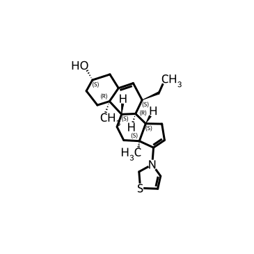 CC[C@@H]1C=C2C[C@@H](O)CC[C@]2(C)[C@H]2CC[C@]3(C)C(N4C=CSC4)=CC[C@H]3[C@H]12